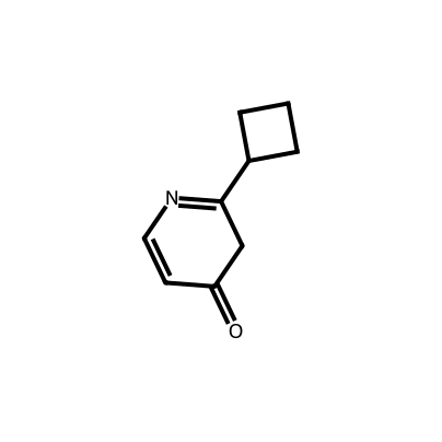 O=C1C=CN=C(C2CCC2)C1